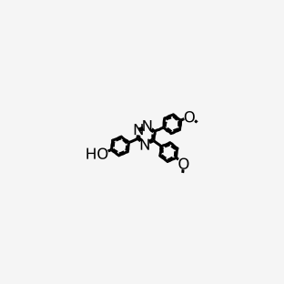 COc1ccc(-c2nnc(-c3ccc(O)cc3)nc2-c2ccc(OC)cc2)cc1